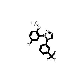 COc1ccc(Cl)cc1N1N=NCC1c1cccc(C(F)(F)F)c1